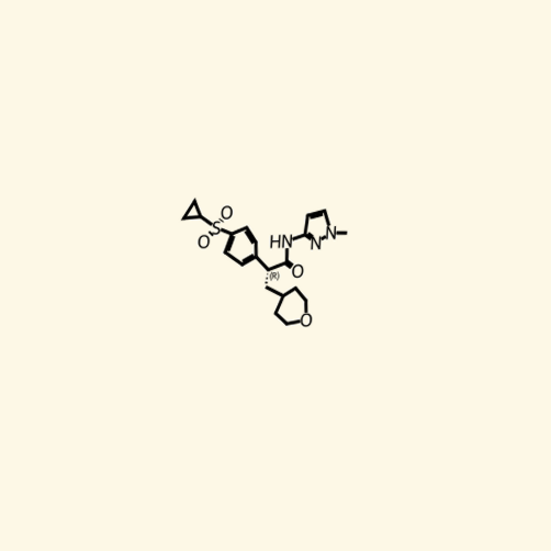 Cn1ccc(NC(=O)[C@H](CC2CCOCC2)c2ccc(S(=O)(=O)C3CC3)cc2)n1